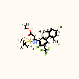 CCOC(=O)C[C@H](NSC(C)(C)C)c1cc(-c2c(C)cc(F)cc2C)cc(C(F)(F)F)c1F